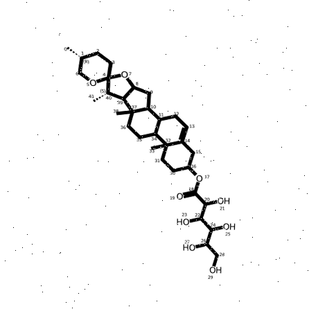 C[C@@H]1CCC2(OC1)OC1CC3C4CC=C5CC(OC(=O)C(O)C(O)C(O)C(O)CO)CCC5(C)C4CCC3(C)C1[C@@H]2C